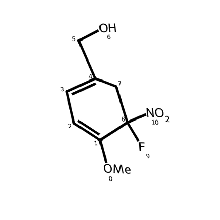 COC1=CC=C(CO)CC1(F)[N+](=O)[O-]